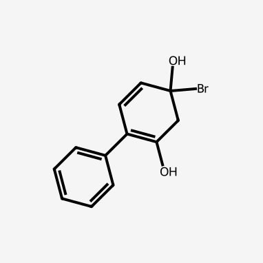 OC1=C(c2ccccc2)C=CC(O)(Br)C1